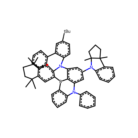 CC(C)(C)c1ccc(N2c3cc4c(cc3B3c5ccccc5N(c5ccccc5)c5cc(N6c7ccccc7C7(C)CCCC67C)cc2c53)C(C)(C)CCC4(C)C)c(-c2ccccc2)c1